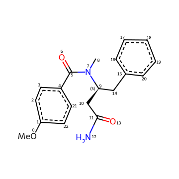 COc1ccc(C(=O)N(C)[C@H](CC(N)=O)Cc2ccccc2)cc1